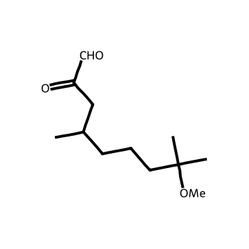 COC(C)(C)CCCC(C)CC(=O)C=O